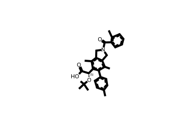 Cc1ccc(-c2c(C)c3c(c(C)c2[C@H](OC(C)(C)C)C(=O)O)CN(C(=O)c2ccccc2C)C3)cc1